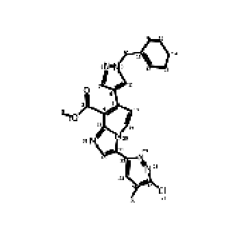 COC(=O)c1c(-c2cnn(CC3=CCCCC3)c2)ccn2c(-c3cc(C)c(Cl)nn3)cnc12